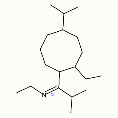 CC/N=C(/C(C)C)C1CCCC(C(C)C)CCC1CC